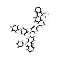 CC1(C)c2ccccc2-c2ccc3c(-c4ccc(N(c5ccc(-c6ccccc6)cc5)c5ccc6c7ccccc7n(-c7ccccc7)c6c5)cc4)cccc3c21